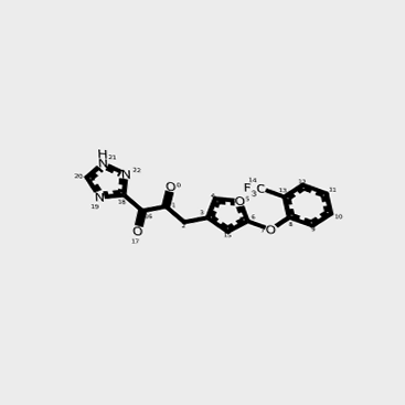 O=C(Cc1coc(Oc2ccccc2C(F)(F)F)c1)C(=O)c1nc[nH]n1